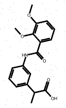 COc1cccc(C(=O)Nc2cccc(C(C)C(=O)O)c2)c1OC